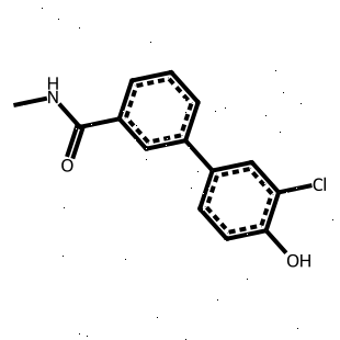 CNC(=O)c1cccc(-c2ccc(O)c(Cl)c2)c1